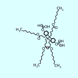 CCCCCCCCOC(=O)CCSCC(c1ccc(OP(O)O)cc1)(c1ccc(OP(O)O)cc1)C(SCCC(=O)OCCCCCCCC)(SCCC(=O)OCCCCCCCC)SCCC(=O)OCCCCCCCC